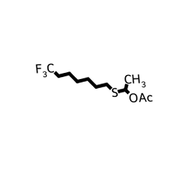 CC(=O)OC(C)SCCCCCCC(F)(F)F